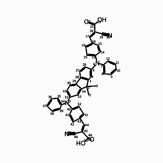 CC1(C)c2cc(N(c3ccccc3)c3ccc(/C=C(\C#N)C(=O)O)cc3)ccc2-c2ccc(N(c3ccccc3)c3ccc(/C=C(\C#N)C(=O)O)cc3)cc21